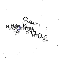 C=C(OC)/C(=C\C(=C/C)c1nc(NC(=O)c2cnc(N3CCC(C(=O)O)CC3)cn2)sc1CN1CCCC1COCC)C(F)(F)F